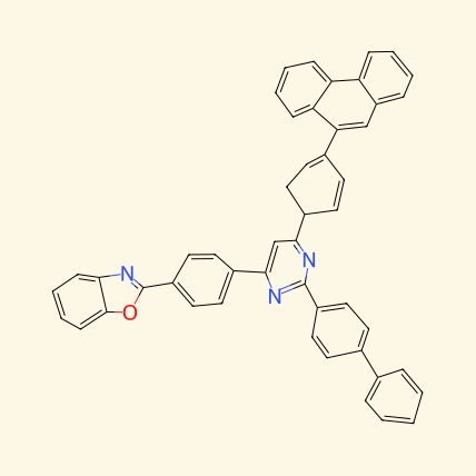 C1=CC(c2cc(-c3ccc(-c4nc5ccccc5o4)cc3)nc(-c3ccc(-c4ccccc4)cc3)n2)CC=C1c1cc2ccccc2c2ccccc12